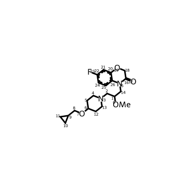 COC(CN1CCC(OCC2CC2)CC1)CN1C(=O)COc2cc(F)ccc21